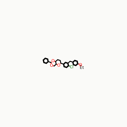 CCOc1ccc(Cc2cc(C3CCC4OC(c5ccccc5)OCC4O3)ccc2Cl)cc1